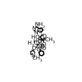 C[C@H](NP(=O)(Oc1ccccc1)OC1[C@@]2(C)O[C@@H](c3ccc4c(N)ncnn34)[C@H](O)[C@@]12O)C(=O)O[C@H]1CCN(C)C1